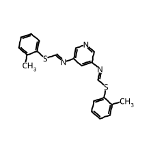 Cc1ccccc1S/C=N/c1cncc(/N=C/Sc2ccccc2C)c1